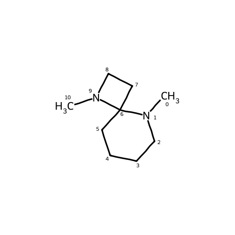 CN1CCCCC12CCN2C